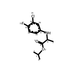 CC(C)OC(=O)C(C)Nc1ccc(F)c(Cl)c1